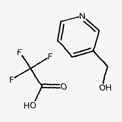 O=C(O)C(F)(F)F.OCc1cccnc1